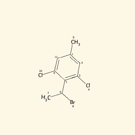 Cc1cc(Cl)c(C(C)Br)c(Cl)c1